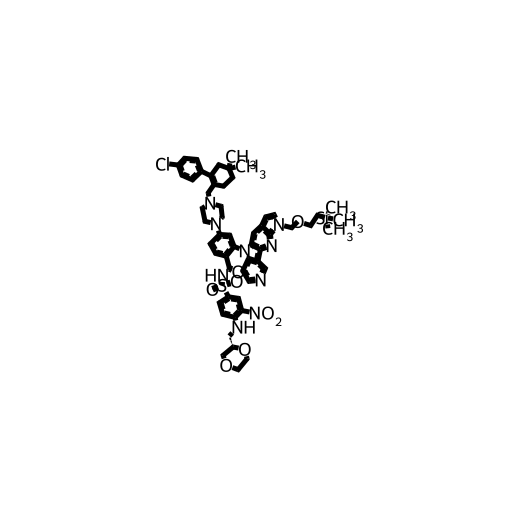 CC1(C)CCC(CN2CCN(c3ccc(C(=O)NS(=O)(=O)c4ccc(NC[C@H]5COCCO5)c([N+](=O)[O-])c4)c(-n4c5ccncc5c5nc6c(ccn6COCC[Si](C)(C)C)cc54)c3)CC2)=C(c2ccc(Cl)cc2)C1